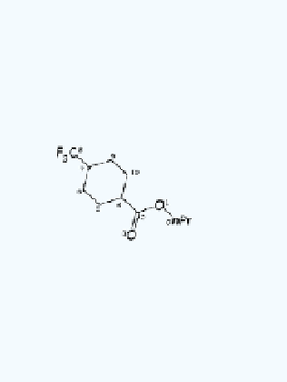 CCCOC(=O)C1CCC(C(F)(F)F)CC1